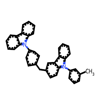 Cc1cccc(-n2c3ccccc3c3cc(Cc4ccc(-n5c6ccccc6c6ccccc65)cc4)ccc32)c1